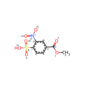 COC(=O)c1ccc(S(=O)(=O)O)c([N+](=O)[O-])c1